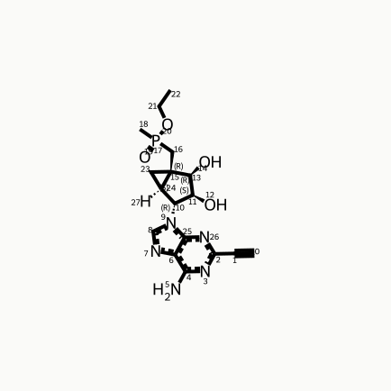 C#Cc1nc(N)c2ncn([C@H]3[C@H](O)[C@H](O)[C@@]4(CP(C)(=O)OCC)C[C@H]34)c2n1